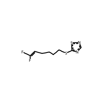 FC(F)=CCCCCSc1ncns1